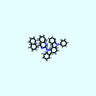 c1ccc(-n2c3ccccc3c3c2ccc2c4ccccc4n(-c4nc(-c5cccc6ccccc56)c5ccccc5n4)c23)cc1